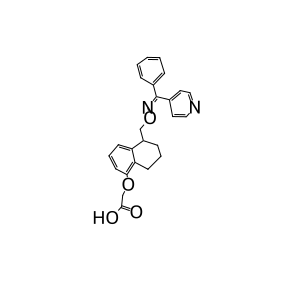 O=C(O)COc1cccc2c1CCCC2CON=C(c1ccccc1)c1ccncc1